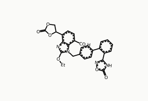 CCOc1nc2c(C3COC(=O)O3)ccc(C(=O)O)c2n1Cc1ccc(-c2ccccc2-c2noc(=O)[nH]2)cc1